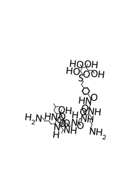 CC(C)CC(NC(=O)C(CCCCN)NC(=O)C(C)NC(=O)CNC(=O)CNC(=O)C(CCCCN)NC(=O)CNC(=O)c1ccc(CCSC2OC(CO)C(O)C(O)C2O)cc1)C(=O)O